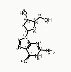 Nc1nc2c(ncn2[C]2C[C@H](O)[C@@H](CO)O2)c(=O)[nH]1